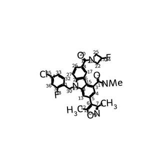 CNC(=O)c1cc(-c2c(C)noc2C)cc2c1c1cc(C(=O)N3CC(F)C3)ccc1n2Cc1ccc(Cl)cc1F